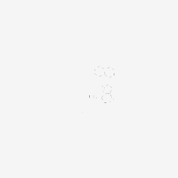 CC1(C)O[C@H]2[C@H](Nc3ccnc4cc(-c5ccc(Cl)c6ccccc56)nn34)CC[C@]2(CO)O1